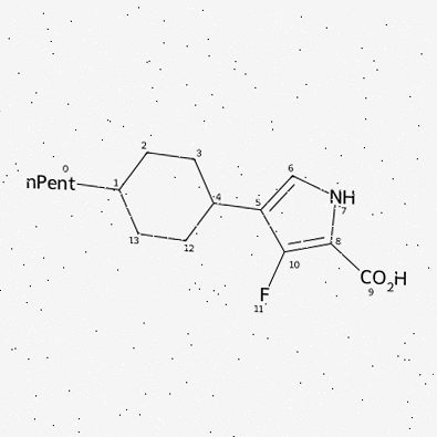 CCCCCC1CCC(c2c[nH]c(C(=O)O)c2F)CC1